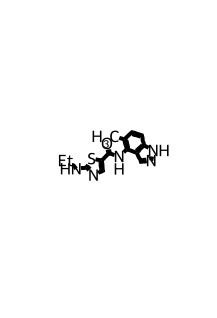 CCNc1ncc(C(=O)Nc2c(C)ccc3[nH]ncc23)s1